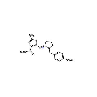 COC(=O)c1cc(C)sc1/N=C1\CCCN1Cc1ccc(OC)cc1